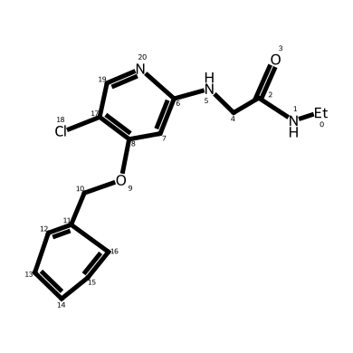 CCNC(=O)CNc1cc(OCc2ccccc2)c(Cl)cn1